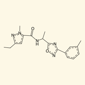 CCc1cc(C(=O)NC(C)c2nc(-c3cccc(C)c3)no2)n(C)n1